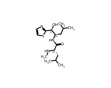 CN[C@@H](CC(C)C)C(=O)N[C@H](CC(C)C)[C@H](O)c1nccs1